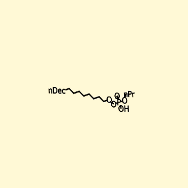 CCCCCCCCCCCCCCCCCCOOP(=O)(O)OCCC